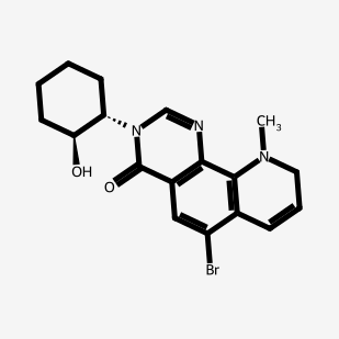 CN1CC=Cc2c(Br)cc3c(=O)n([C@H]4CCCC[C@@H]4O)cnc3c21